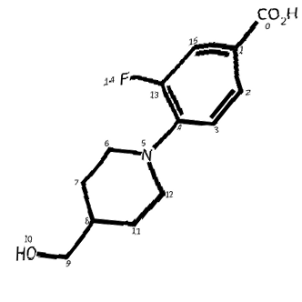 O=C(O)c1ccc(N2CCC(CO)CC2)c(F)c1